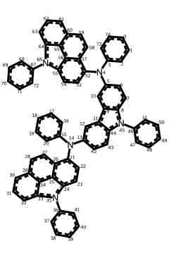 c1ccc(N(c2ccc3c(c2)c2cc(N(c4ccccc4)c4ccc5c6c4ccc4cccc(c46)n5-c4ccccc4)ccc2n3-c2ccccc2)c2ccc3c4c2ccc2cccc(c24)n3-c2ccccc2)cc1